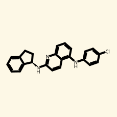 Clc1ccc(Nc2cccc3nc(N[C@@H]4CCc5ccccc54)ccc23)cc1